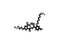 C=CCCCCCOc1cc(Br)ccc1C(=O)COC(=O)C1CC(OCC=C)CN1C(=O)OC(C)(C)C